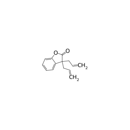 C=CCC1(CC=C)C(=O)Oc2ccccc21